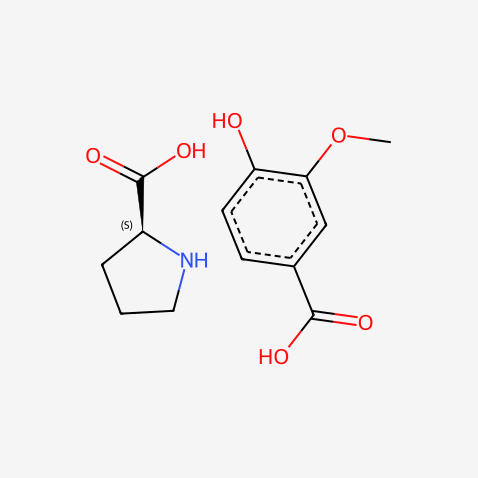 COc1cc(C(=O)O)ccc1O.O=C(O)[C@@H]1CCCN1